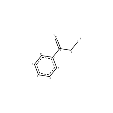 S=C(CI)c1ccccc1